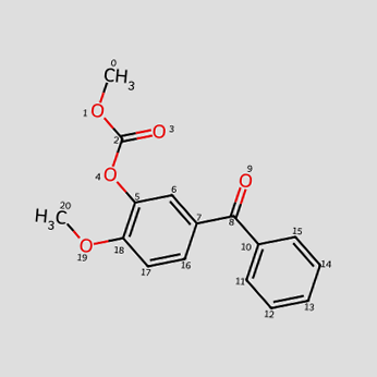 COC(=O)Oc1cc(C(=O)c2ccccc2)ccc1OC